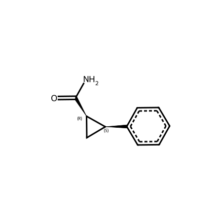 NC(=O)[C@@H]1C[C@@H]1c1ccccc1